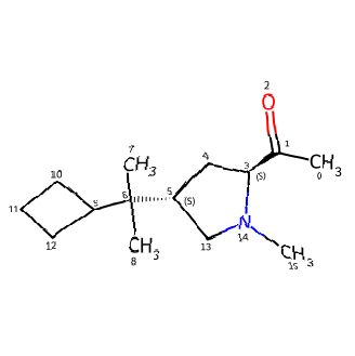 CC(=O)[C@@H]1C[C@@H](C(C)(C)C2CCC2)CN1C